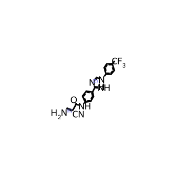 N#C/C(=C\N)C(=O)Nc1ccc(C(=N)/N=C\Nc2ccc(C(F)(F)F)cc2)cc1